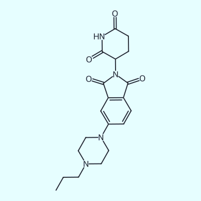 CCCN1CCN(c2ccc3c(c2)C(=O)N(C2CCC(=O)NC2=O)C3=O)CC1